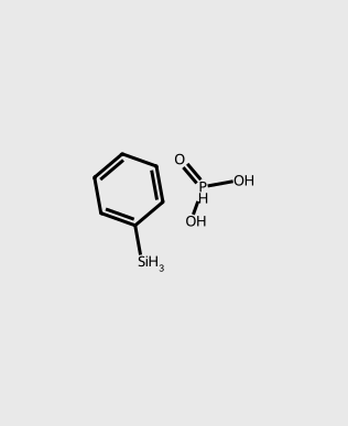 O=[PH](O)O.[SiH3]c1ccccc1